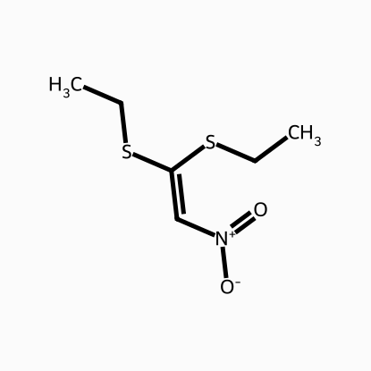 CCSC(=C[N+](=O)[O-])SCC